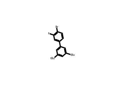 CC(C)(C)c1cc(-c2ccc(Br)c(F)c2)cc(C(C)(C)C)c1